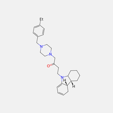 CCc1ccc(CN2CCN(CC(=O)CCN3C4=CC=CC[C@H]4[C@H]4CCCCC43)CC2)cc1